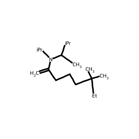 C=C(CCCC(C)(C)CC)N(C(C)C)C(C)C(C)C